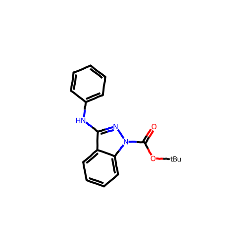 CC(C)(C)OC(=O)n1nc(Nc2ccccc2)c2ccccc21